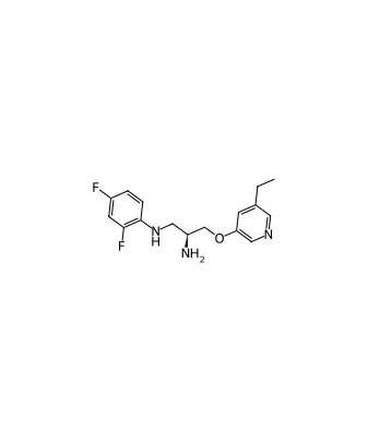 CCc1cncc(OC[C@@H](N)CNc2ccc(F)cc2F)c1